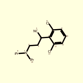 CC(C)N(CCC(C#N)c1c(Cl)cccc1Cl)C(C)C